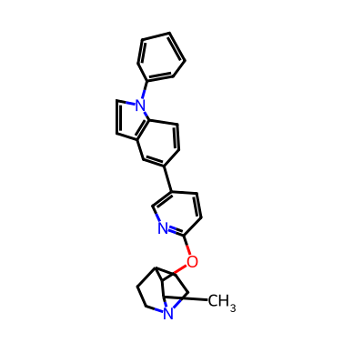 CC1C(Oc2ccc(-c3ccc4c(ccn4-c4ccccc4)c3)cn2)C2CCN1CC2